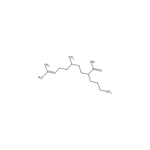 CCCCC(CCC(C)CCC=C(C)C)C(=O)O